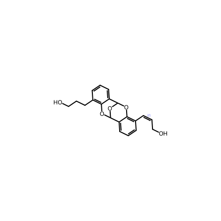 OC/C=C\c1cccc2c1OC1OC2Oc2c(CCCO)cccc21